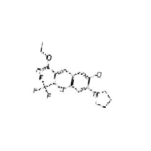 CCOC(=O)C1=Cc2cc(Cl)c(N3CCCC3)cc2OC1C(F)(F)F